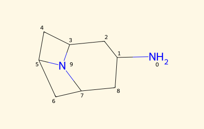 NC1CC2CC3CC(C1)N23